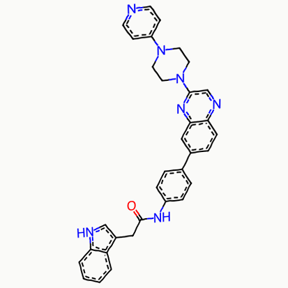 O=C(Cc1c[nH]c2ccccc12)Nc1ccc(-c2ccc3ncc(N4CCN(c5ccncc5)CC4)nc3c2)cc1